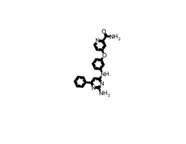 NC(=O)c1cc(Oc2cccc(Nc3cc(-c4ccccc4)nc(N)n3)c2)ccn1